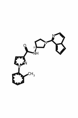 Cc1ccccc1-n1ccc(C(=O)N[C@H]2CCN(C3=NC=CC4C=CC=C34)C2)n1